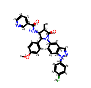 COc1ccc(C2C(NC(=O)c3cccnc3)C(C)C(=O)N2c2ccc3c(cnn3-c3ccc(F)cc3)c2)cc1